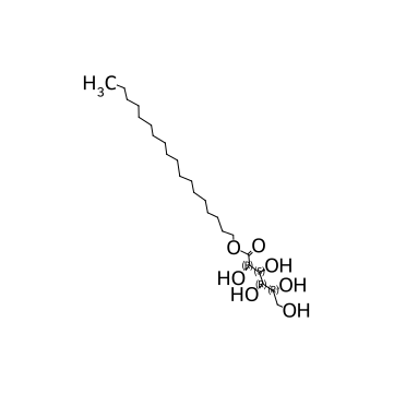 CCCCCCCCCCCCCCCCCCOC(=O)[C@H](O)[C@@H](O)[C@H](O)[C@H](O)CO